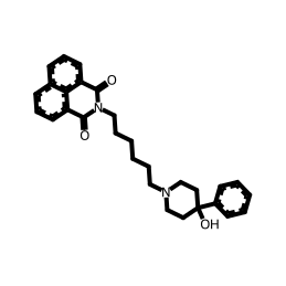 O=C1c2cccc3cccc(c23)C(=O)N1CCCCCCN1CCC(O)(c2ccccc2)CC1